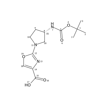 CC(C)(C)OC(=O)N[C@H]1CCN(c2nc(C(=O)O)co2)C1